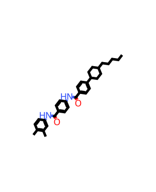 CCCCCC1CCC(c2ccc(C(=O)Nc3ccc(C(=O)Nc4ccc(C)c(C)c4)cc3)cc2)CC1